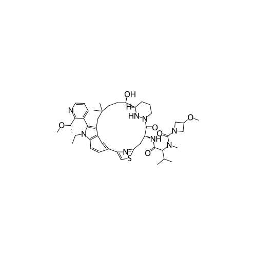 CCn1c(-c2cccnc2[C@H](C)OC)c2c3cc(ccc31)-c1csc(n1)C[C@H](NC(=O)C(C(C)C)N(C)C(=O)N1CC(OC)C1)C(=O)N1CCC[C@H](N1)[C@H](O)CCC(C)(C)C2